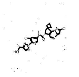 C[C@@H](O)c1cnn(-c2ncc(NC(=O)[C@@H]3CC4(CCC4)c4c3cnc3cc(Cl)nn43)cc2Cl)n1